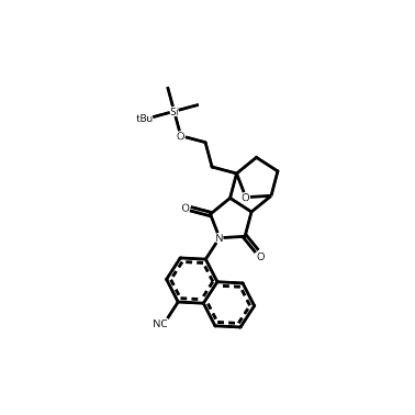 CC(C)(C)[Si](C)(C)OCCC12CCC(O1)C1C(=O)N(c3ccc(C#N)c4ccccc34)C(=O)C12